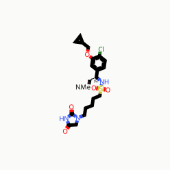 CNC[C@@H](NS(=O)(=O)CCCCCN1CC(=O)NC1=O)c1ccc(Cl)c(OCC2CC2)c1